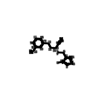 Cn1cnnc1CC[C@@H](C#N)CCc1cccc(Br)c1